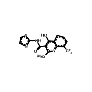 CSc1nc2c(C(F)(F)F)cccc2c(O)c1C(=O)Nc1nccs1